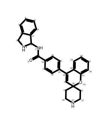 O=C(NC1NCc2ccccc21)c1ccc(C2=CC3(CCNCC3)Oc3ccccc32)cc1